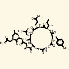 CC[C@H](C)[C@@H]1NC(=O)[C@H](Cc2ccc(N)cc2)NC(=O)CNC(=O)CC[C@@H](C(=O)N(C)CC(=O)N[C@@H](CC(C)C)C(=O)NCC(N)=O)NC(=O)[C@H](CC(N)=O)NC(=O)[C@H](CCC(N)=O)NC1=O